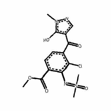 COC(=O)c1ccc(C(=O)c2cnn(C)c2O)c(Cl)c1N=S(C)(C)=O